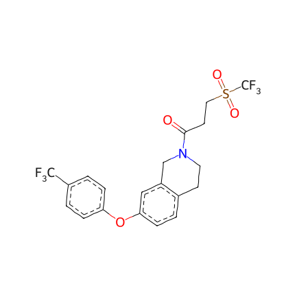 O=C(CCS(=O)(=O)C(F)(F)F)N1CCc2ccc(Oc3ccc(C(F)(F)F)cc3)cc2C1